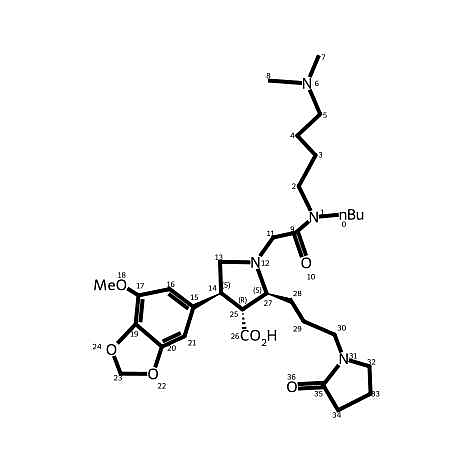 CCCCN(CCCCN(C)C)C(=O)CN1C[C@H](c2cc(OC)c3c(c2)OCO3)[C@@H](C(=O)O)[C@@H]1CCCN1CCCC1=O